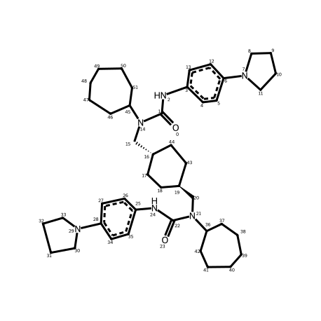 O=C(Nc1ccc(N2CCCC2)cc1)N(C[C@H]1CC[C@H](CN(C(=O)Nc2ccc(N3CCCC3)cc2)C2CCCCCC2)CC1)C1CCCCCC1